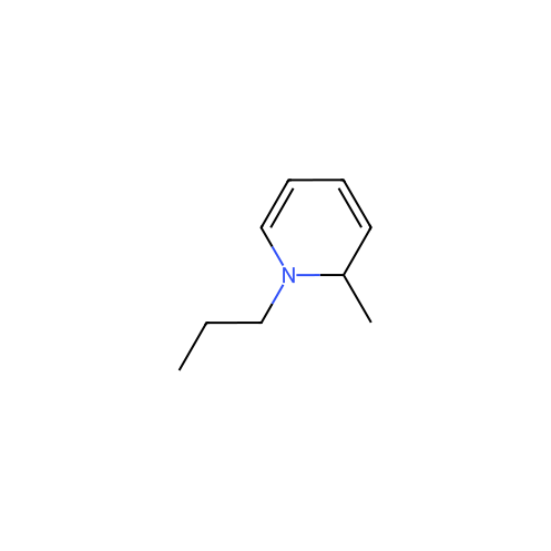 CCCN1C=CC=CC1C